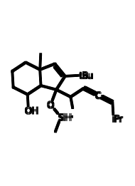 CC(C)C=C=CC(C)C1(O[SiH](C)C)C(C(C)(C)C)=CC2(C)CCCC(O)C21